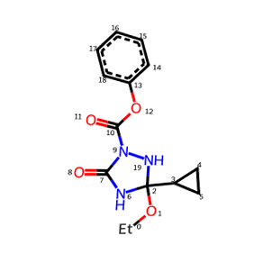 CCOC1(C2CC2)NC(=O)N(C(=O)Oc2ccccc2)N1